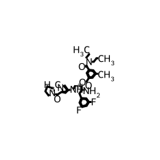 CCCN(CCC)C(=O)c1cc(C)cc(C(=O)O[C@H](CNc2cc(C(=O)N3CCCC3)n(C)c2)[C@@H](N)Cc2cc(F)cc(F)c2)c1